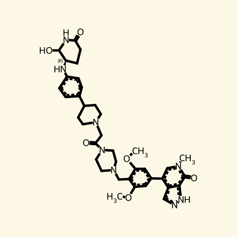 COc1cc(-c2cn(C)c(=O)c3[nH]ncc23)cc(OC)c1CN1CCN(C(=O)CN2CCC(c3ccc(N[C@@H]4CCC(=O)NC4O)cc3)CC2)CC1